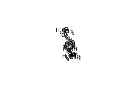 CC(C)(C)COC(=O)C1CCN(C2CC(C(=O)Nc3cc(Nc4cc(-c5cc(Cl)ccc5F)nnc4CO[Si](C)(C)C(C)(C)C)ncn3)C2)CC1